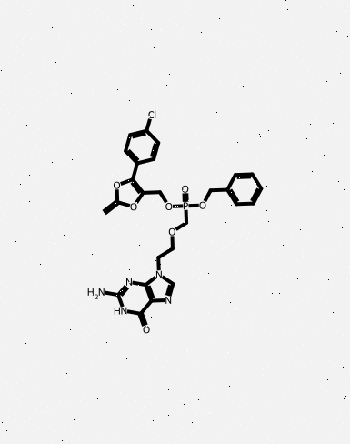 C=C1OC(COP(=O)(COCCn2cnc3c(=O)[nH]c(N)nc32)OCc2ccccc2)=C(c2ccc(Cl)cc2)O1